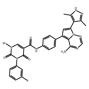 Cc1n[nH]c(C)c1-c1cc(-c2ccc(NC(=O)c3cn(C(C)C)c(=O)n(-c4cccc(F)c4)c3=O)cc2)c2c(N)ncnn12